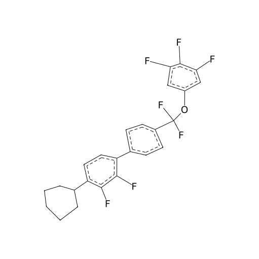 Fc1cc(OC(F)(F)c2ccc(-c3ccc(C4CCCCC4)c(F)c3F)cc2)cc(F)c1F